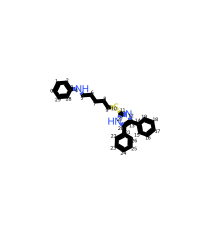 c1ccc(NCCCCCSc2nc(-c3ccccc3)c(-c3ccccc3)[nH]2)cc1